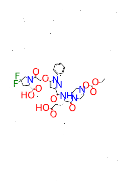 CCOC(=O)ON1CCN(C(=O)[C@H](CCC(=O)O)NC(=O)c2cc(OCC(=O)N3CC(F)(F)C[C@H]3C(=O)O)n(-c3ccccc3)n2)CC1